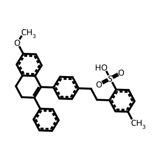 COc1ccc2c(c1)CCC(c1ccccc1)=C2c1ccc(CCc2cc(C)ccc2S(=O)(=O)O)cc1